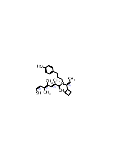 C=C(/C(C)=C/C(C)=C(C)/C=C\S)N(CCCc1ccc(O)cc1)/C(=C\C)C1CCC1